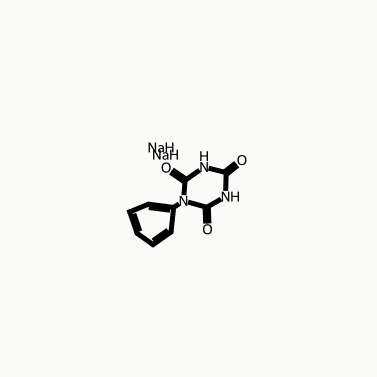 O=c1[nH]c(=O)n(-c2ccccc2)c(=O)[nH]1.[NaH].[NaH]